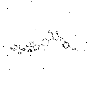 Cc1cn(C[C@H]2CN(c3ccc(-n4cnc(C(C)(C)O[SiH2]C(C)(C)C)c4)c(F)c3)C(=O)O2)nn1